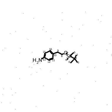 CC(C)(C)[Si](C)(C)OCCc1ccc(N)cc1